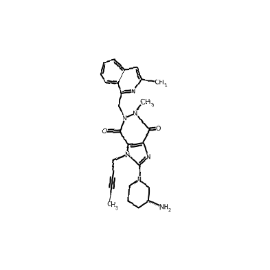 CC#CCn1c(N2CCCC(N)C2)nc2c(=O)n(C)n(Cc3nc(C)cc4ccccc34)c(=O)c21